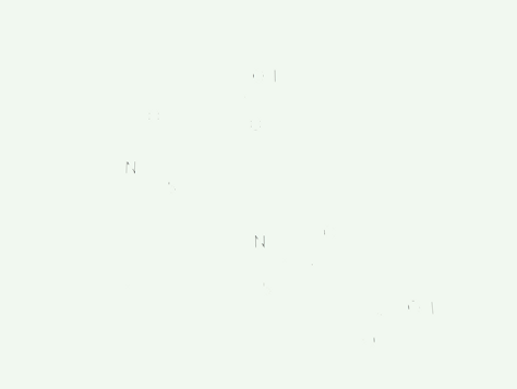 O=C(O)CCC(=O)c1nc2ccc(-c3ccccc3-c3ccc4nc(C(=O)CCC(=O)O)sc4c3)cc2s1